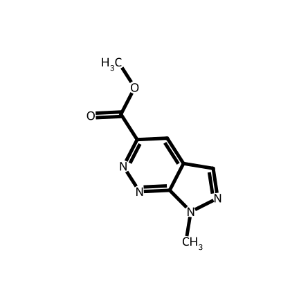 COC(=O)c1cc2cnn(C)c2nn1